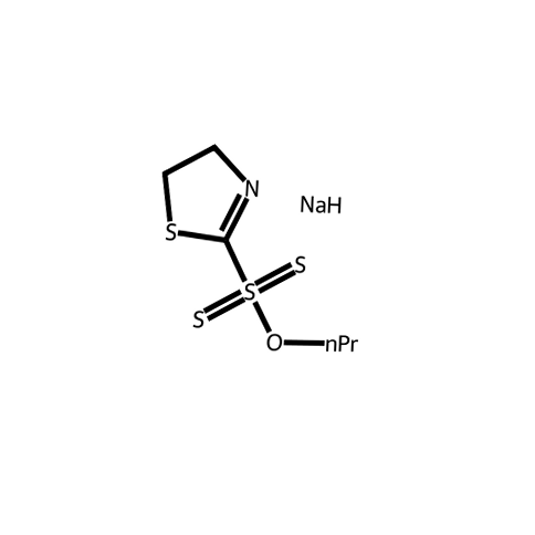 CCCOS(=S)(=S)C1=NCCS1.[NaH]